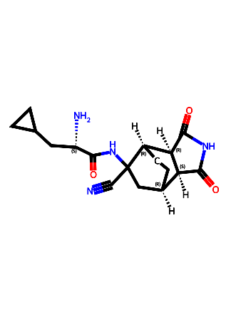 N#CC1(NC(=O)[C@@H](N)CC2CC2)C[C@H]2CC[C@@H]1[C@H]1C(=O)NC(=O)[C@@H]21